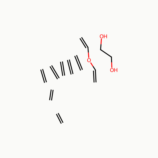 C=C.C=C.C=C.C=C.C=C.C=C.C=C.C=COC=C.OCCO